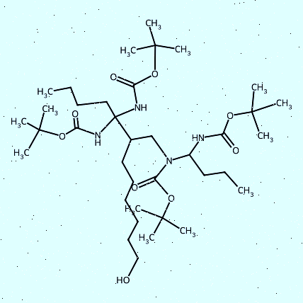 CCCCC(NC(=O)OC(C)(C)C)(NC(=O)OC(C)(C)C)C(CCCCCCO)CN(C(=O)OC(C)(C)C)C(CCC)NC(=O)OC(C)(C)C